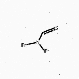 CC(C)N(C=S)C(C)C